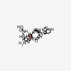 Nc1nc(NCCNC(=O)CO)nc2c1ncn2[C@@H]1O[C@@H]2COP(=O)(S)O[C@H]3C[C@H](n4cc5c6c(ncnc64)NCCC5)O[C@@H]3COC(=O)O[C@@H]1[C@@H]2O